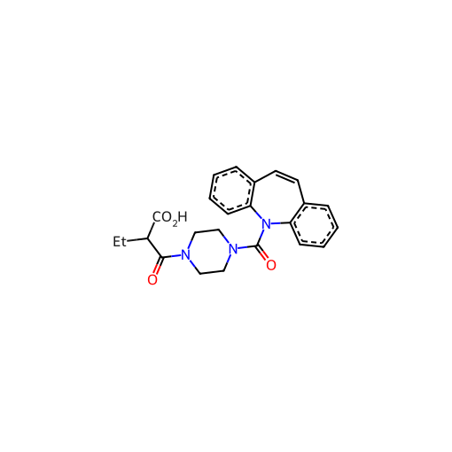 CCC(C(=O)O)C(=O)N1CCN(C(=O)N2c3ccccc3C=Cc3ccccc32)CC1